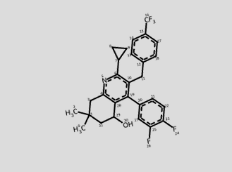 CC1(C)Cc2nc(C3CC3)c(Cc3ccc(C(F)(F)F)cc3)c(-c3ccc(F)c(F)c3)c2C(O)C1